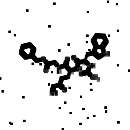 CC(=O)N[C@@H](Cc1c[nH]c2ccccc12)C(=O)N[C@@H](CCC(=O)C=N)C(=O)NCC(=O)OCc1ccccc1